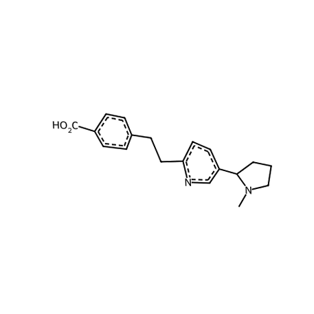 CN1CCCC1c1ccc(CCc2ccc(C(=O)O)cc2)nc1